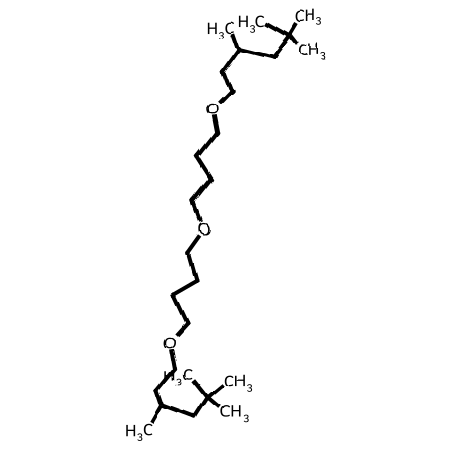 CC(CCOCCCCOCCCCOCCC(C)CC(C)(C)C)CC(C)(C)C